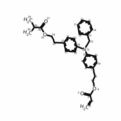 C=CC(=O)OCCc1ccc(N(Cc2ccccc2)c2ccc(CCOC(=O)C(C)C)cc2)cc1